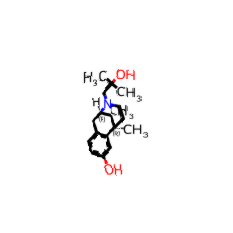 CC1[C@H]2Cc3ccc(O)cc3[C@]1(C)CCN2CC(C)(C)O